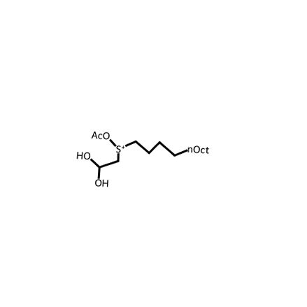 CCCCCCCCCCCC[S+](CC(O)O)OC(C)=O